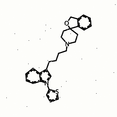 c1csc(-n2cc(CCCCN3CCC4(CC3)OCc3ccccc34)c3ccccc32)c1